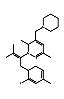 CC1=CCC(CC(=C(C)C)N2N=C(C)C=C(CN3CCCCC3)C2C)C(F)=C1